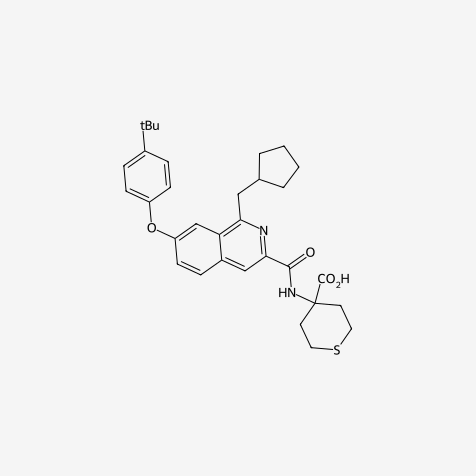 CC(C)(C)c1ccc(Oc2ccc3cc(C(=O)NC4(C(=O)O)CCSCC4)nc(CC4CCCC4)c3c2)cc1